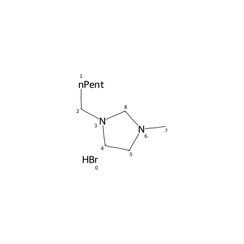 Br.CCCCCCN1CCN(C)C1